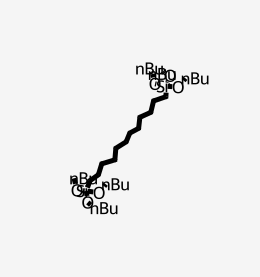 CCCCO[Si](CCCCCCCCCCCC[Si](OCCCC)(OCCCC)OCCCC)(OCCCC)OCCCC